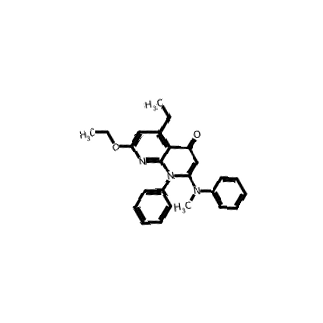 CCOc1cc(CC)c2c(=O)cc(N(C)c3ccccc3)n(-c3ccccc3)c2n1